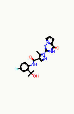 Cc1c(C(=O)Nc2ccc(F)cc2C(C)(C)O)cnn1-c1nn2cccc2c(=O)[nH]1